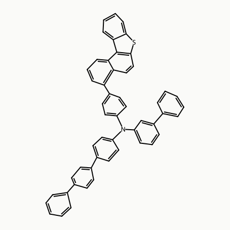 c1ccc(-c2ccc(-c3ccc(N(c4ccc(-c5cccc6c5ccc5sc7ccccc7c56)cc4)c4cccc(-c5ccccc5)c4)cc3)cc2)cc1